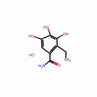 CCc1c(C(N)=O)cc(O)c(O)c1O.Cl